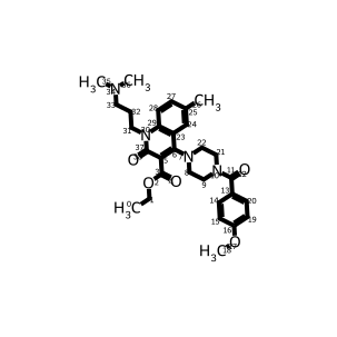 CCOC(=O)c1c(N2CCN(C(=O)c3ccc(OC)cc3)CC2)c2cc(C)ccc2n(CCCN(C)C)c1=O